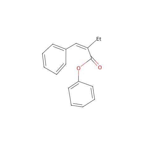 CCC(=Cc1ccccc1)C(=O)Oc1ccccc1